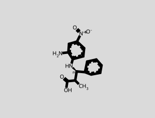 CC(C(=O)O)[C@@H](Nc1ccc([N+](=O)[O-])cc1N)c1ccccc1